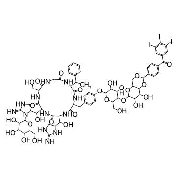 CC(c1ccccc1)C1NC(=O)CNC(=O)C(CO)NC(=O)C(C(O)C2CNC(=N)N2C2OC(CO)C(O)C(O)C2O)NC(=O)C(C(O)C2CNC(=N)N2)NC(=O)C(Cc2ccc(OC3OC(CO)C(OC4OC5COC(c6ccc(C(=O)c7cc(I)c(I)c(I)c7)cc6)OC5C(O)C4O)C(O)C3O)cc2)NC1=O